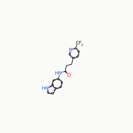 O=C(CCc1ccc(C(F)(F)F)nc1)Nc1ccc2cc[nH]c2c1